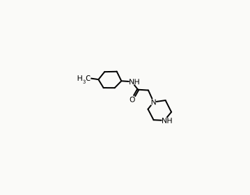 CC1CCC(NC(=O)CN2CCNCC2)CC1